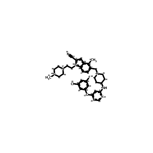 Cc1c(CN2CCC(Nc3cc(Oc4cc(F)cc(Cl)c4)ncn3)CC2)ccc2c1cc(C#N)n2CCN1CCN(C)CC1